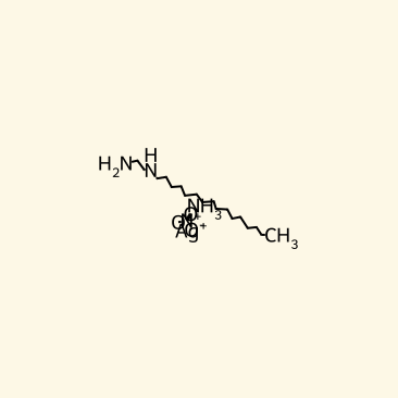 CCCCCCCCCCCCCCCCNCCN.N.O=[N+]([O-])[O-].[Ag+]